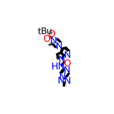 Cc1nc2cnc(NC(=O)N3CCc4c(N5CCN(C(=O)OC(C)(C)C)[C@H](C)C5)ccnc43)cn2n1